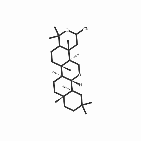 CC1(C)CC[C@]2(C)CC[C@]3(C)[C@H](OC[C@@H]4[C@@]5(C)CC(C#N)OC(C)(C)C5CC[C@]43C)[C@H]2C1